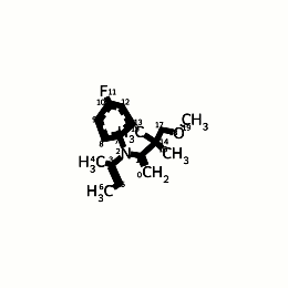 C=C(N(/C(C)=C/C)c1ccc(F)cc1)C(C)(C)COC